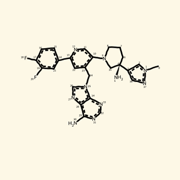 Cn1cc([C@@]2(N)CCCN(c3cnc(-c4ccc(F)c(F)c4)cc3Cn3cnc4c(N)ncnc43)C2)cn1